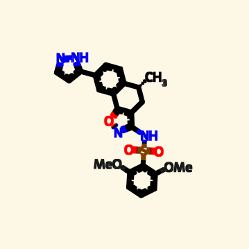 COc1cccc(OC)c1S(=O)(=O)Nc1noc2c1C[C@@H](C)c1ccc(-c3ccn[nH]3)cc1-2